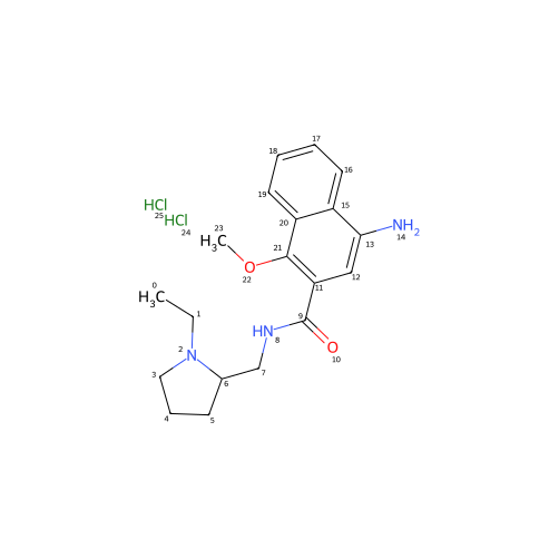 CCN1CCCC1CNC(=O)c1cc(N)c2ccccc2c1OC.Cl.Cl